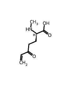 C=CC(=O)CC[C@@H](NC)C(=O)O